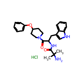 CC(C)(N)C(=O)NC(Cc1c[nH]c2ccccc12)C(=O)N1CCC(Oc2ccccc2)CC1.Cl